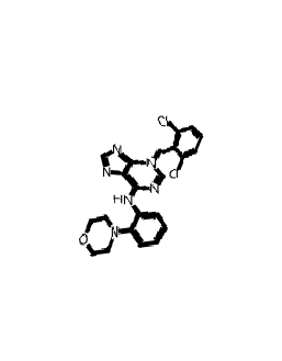 Clc1cccc(Cl)c1Cn1cnc(Nc2ccccc2N2CCOCC2)c2ncnc1-2